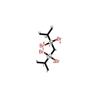 CC(C)[Si](Br)(Br)C[Si](Br)(Br)C(C)C